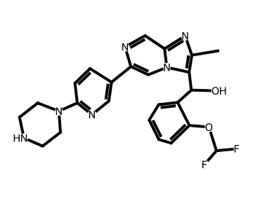 Cc1nc2cnc(-c3ccc(N4CCNCC4)nc3)cn2c1C(O)c1ccccc1OC(F)F